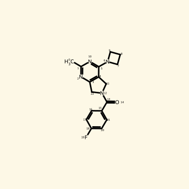 Cc1nc2c(c(N3CCC3)n1)CN(C(=O)c1ccc(F)cc1)C2